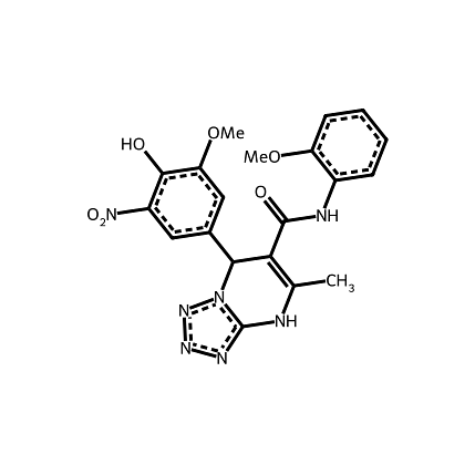 COc1ccccc1NC(=O)C1=C(C)Nc2nnnn2C1c1cc(OC)c(O)c([N+](=O)[O-])c1